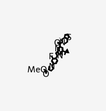 COC(=O)[C@H]1CCN(c2ccc(-c3cc4nc(C(=O)N5CCc6sccc6[C@H]5C)cc(C5(C)CC5)n4n3)c(F)c2)C1